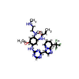 C=CC(=O)Nc1cc(Nc2ncnc(-c3cnc4c(C(F)(F)F)cccn34)n2)c(OC)cc1N(C)CCNC